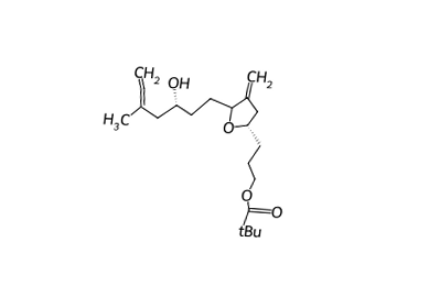 C=C=C(C)C[C@H](O)CCC1O[C@@H](CCCOC(=O)C(C)(C)C)CC1=C